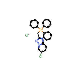 Clc1ccc2nc(C[P+](c3ccccc3)(c3ccccc3)c3ccccc3)nn2c1.[Cl-]